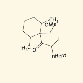 CCCCCCCC(I)C(=O)C1(COC)C(C)CCCC1C